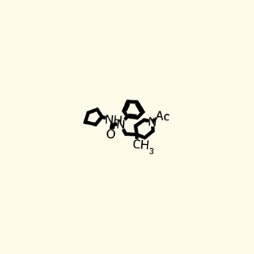 CC(=O)N1CCC(C)(CN(C(=O)NC2CCCC2)c2ccccc2)CC1